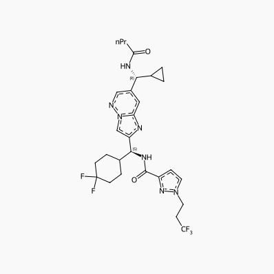 CCCC(=O)N[C@@H](c1cnn2cc([C@@H](NC(=O)c3ccn(CCC(F)(F)F)n3)C3CCC(F)(F)CC3)nc2c1)C1CC1